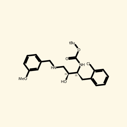 COc1cccc(CNC[C@H](O)[C@H](Cc2ccccc2Cl)NC(=O)OC(C)(C)C)c1